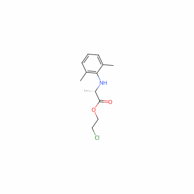 Cc1cccc(C)c1N[C@@H](C)C(=O)OCCCl